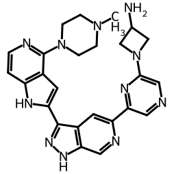 CN1CCN(c2nccc3[nH]c(-c4n[nH]c5cnc(-c6cncc(N7CC(N)C7)n6)cc45)cc23)CC1